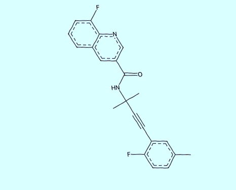 Cc1ccc(F)c(C#CC(C)(C)NC(=O)c2cnc3c(F)cccc3c2)c1